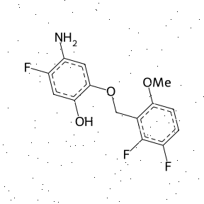 COc1ccc(F)c(F)c1COc1cc(N)c(F)cc1O